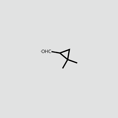 CC1(C)CC1[C]=O